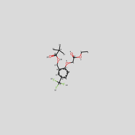 CCOC(=O)COc1ccc(C(F)(F)F)cc1COC(=O)C(C)(C)C